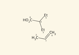 C=CC.CCC(CC)C(=O)O